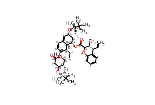 C=CCc1ccccc1OC(CC)C(=O)O[C@H]1C[C@H](O[Si](C)(C)C(C)(C)C)C=C2C=C[C@H](C)[C@H](CC[C@@H]3C[C@@H](O[Si](C)(C)C(C)(C)C)CC(=O)O3)[C@H]21